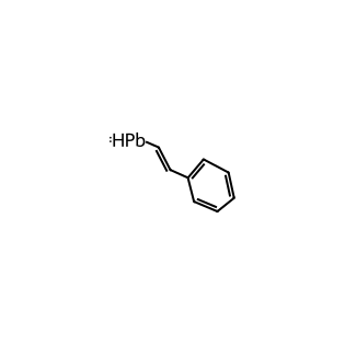 [PbH][CH]=Cc1ccccc1